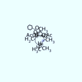 C=C1CC[C@H]2[C@@H](/C=C(\C)C(=O)[C@@]3(OC(C)=O)C[C@H](C)[C@H](OC(=O)c4ccccc4)[C@@H]3[C@H]1OC(C)=O)C2(C)C